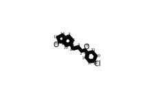 O=C(C/C=C/c1ccc2c(c1)C(=O)CC2)C1=CC=C(Cl)CC1